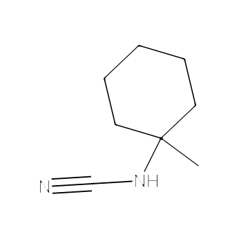 CC1(NC#N)CCCCC1